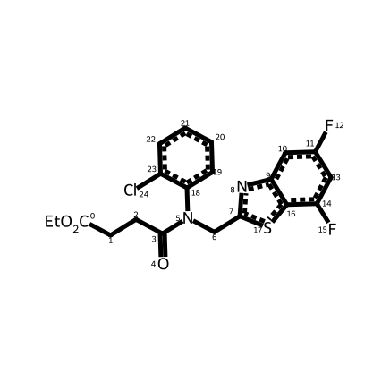 CCOC(=O)CCC(=O)N(Cc1nc2cc(F)cc(F)c2s1)c1ccccc1Cl